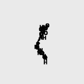 O=C1CCC(N2C(=O)c3ccc(NCCC[C@H]4C[C@H](n5cc(-c6cnc7cc(N8CCNCC8)ccc7n6)cn5)C4)cc3C2=O)C(=O)N1